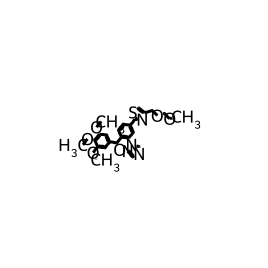 COCOCc1csc(-c2ccc(C(=O)c3cc(OC)c(OC)c(OC)c3)c(-n3cncn3)c2)n1